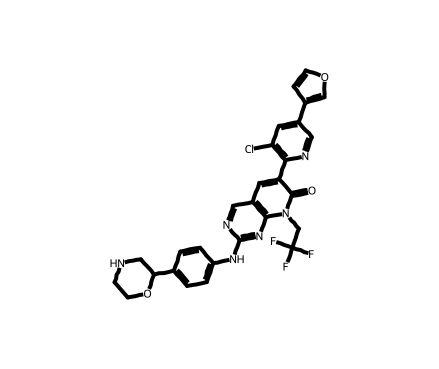 O=c1c(-c2ncc(-c3ccoc3)cc2Cl)cc2cnc(Nc3ccc(C4CNCCO4)cc3)nc2n1CC(F)(F)F